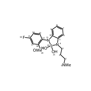 CNCCCN1c2ccccc2N(c2ccc(F)cc2OC)S1(O)O